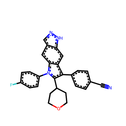 N#Cc1ccc(-c2c(C3CCOCC3)n(-c3ccc(F)cc3)c3cc4cn[nH]c4cc23)cc1